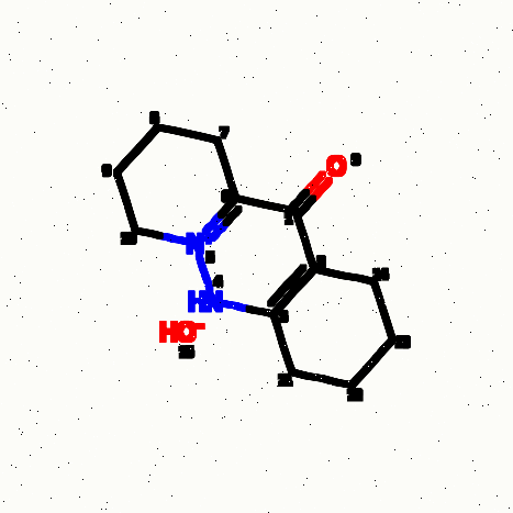 O=c1c2c([nH][n+]3c1CCCC3)CCCC2.[OH-]